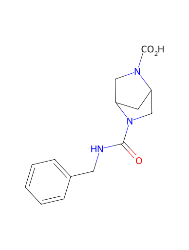 O=C(O)N1CC2CC1CN2C(=O)NCc1ccccc1